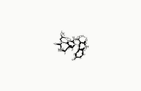 CC(C)CN1C(=O)NCc2cnc(N[C@@H](C)c3cc4cc(Cl)ccc4[nH]c3=O)nc21